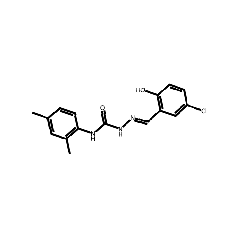 Cc1ccc(NC(=O)N/N=C/c2cc(Cl)ccc2O)c(C)c1